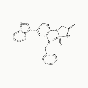 O=C1CN(c2ccc(-c3coc4ccccc34)cc2OCc2ccccc2)S(=O)(=O)N1